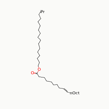 CCCCCCCCC=CCCCCCCCC(=O)OCCCCCCCCCCCCCCCC(C)C